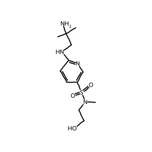 CN(CCO)S(=O)(=O)c1ccc(NCC(C)(C)N)nc1